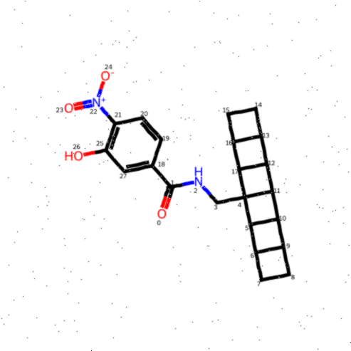 O=C(NCC12C3C4CCC4C3C1C1C3CCC3C12)c1ccc([N+](=O)[O-])c(O)c1